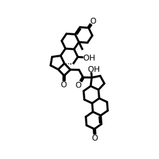 CC12CCC(=O)C=C1CCC1C2C(O)C[C@]23C(CCC12)C(=O)C3CC(=O)C1(O)CCC2C3CCC4=CC(=O)CCC4C3CCC21